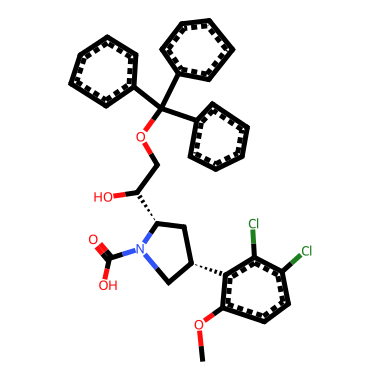 COc1ccc(Cl)c(Cl)c1[C@H]1C[C@@H](C(O)COC(c2ccccc2)(c2ccccc2)c2ccccc2)N(C(=O)O)C1